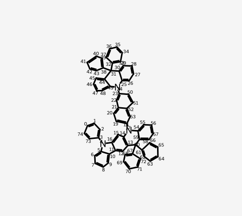 c1ccc(-n2c3ccccc3c3cc4c(cc32)N(c2ccc3cc(N5c6ccccc6C(c6ccccc6)(c6ccccc6)c6ccccc65)ccc3c2)c2ccccc2C4(c2ccccc2)c2ccccc2)cc1